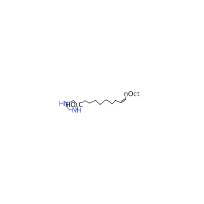 C1CNCN1.CCCCCCCC/C=C\CCCCCCCC(=O)O